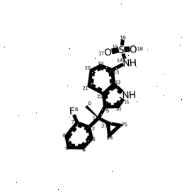 C[C@@](c1ccccc1F)(c1c[nH]c2c(NS(C)(=O)=O)cccc12)C1CC1